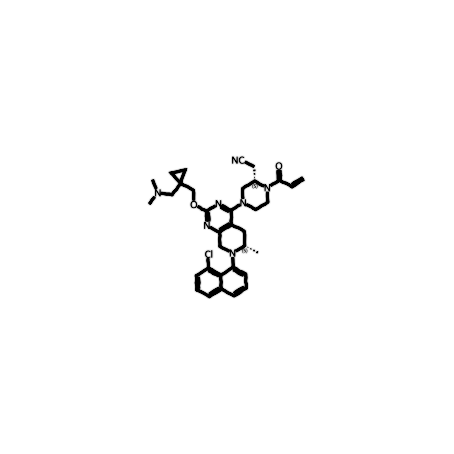 C=CC(=O)N1CCN(c2nc(OCC3(CN(C)C)CC3)nc3c2C[C@H](C)N(c2cccc4cccc(Cl)c24)C3)C[C@@H]1CC#N